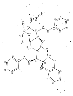 CC1[C@H](O[C@H]2C3CO[C@H](O3)C(N=[N+]=[N-])[C@@H]2OCc2ccccc2)OC(Cc2ccccc2)[C@@H](C)[C@H]1OCc1ccccc1